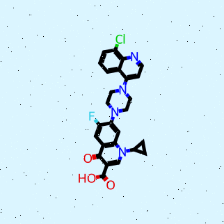 O=C(O)c1cn(C2CC2)c2cc(N3CCN(c4ccnc5c(Cl)cccc45)CC3)c(F)cc2c1=O